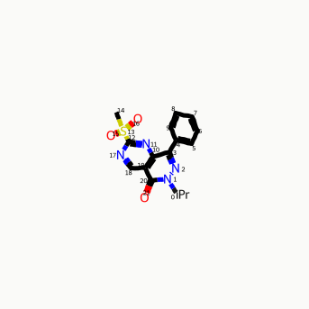 CC(C)n1nc(-c2ccccc2)c2nc(S(C)(=O)=O)ncc2c1=O